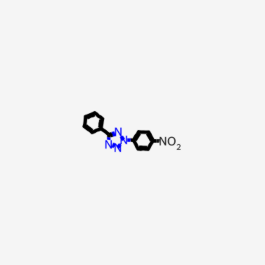 O=[N+]([O-])c1ccc(-n2nnc(-c3ccccc3)n2)cc1